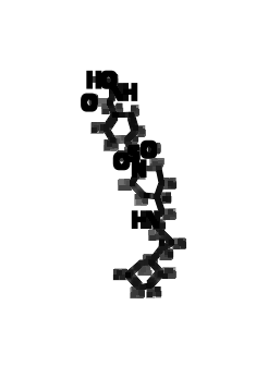 O=C(NO)c1ccc(S(=O)(=O)N2CCC(CNC3CC3c3ccccc3)CC2)cc1